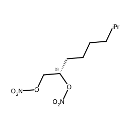 CC(C)CCCC[C@@H](CO[N+](=O)[O-])O[N+](=O)[O-]